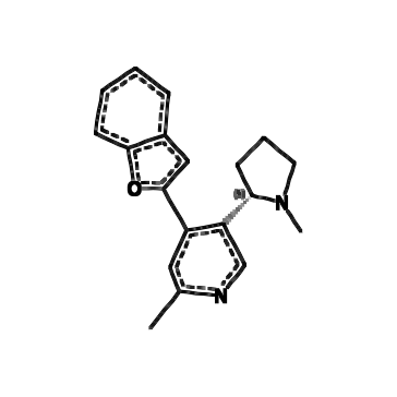 Cc1cc(-c2cc3ccccc3o2)c([C@@H]2CCCN2C)cn1